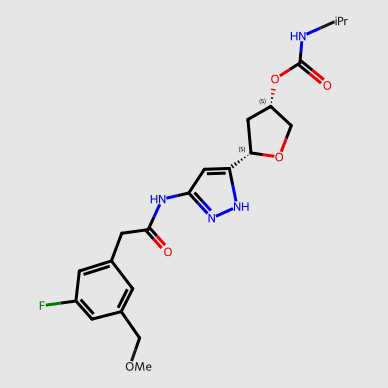 COCc1cc(F)cc(CC(=O)Nc2cc([C@@H]3C[C@H](OC(=O)NC(C)C)CO3)[nH]n2)c1